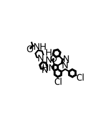 CC(=O)NC1CCN(c2ccncc2NC(=O)c2[nH]c3cc(Cl)cc4c3c2-c2c(-c3ccccc3)ncn2C4c2ccc(Cl)cc2)CC1